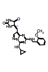 COc1ccccc1CNc1nc(NC2CC2)n2ncc(/C=C3\NC(=O)NC3=O)c2n1